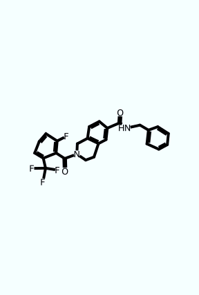 O=C(NCc1ccccc1)c1ccc2c(c1)CCN(C(=O)c1c(F)cccc1C(F)(F)F)C2